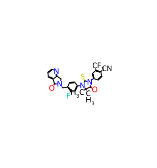 CC1(C)C(=O)N(c2ccc(C#N)c(C(F)(F)F)c2)C(=S)N1c1ccc(CN2Cc3ncccc3C2=O)c(F)c1